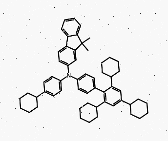 CC1(C)c2ccccc2-c2ccc(N(c3ccc(-c4c(C5CCCCC5)cc(C5CCCCC5)cc4C4CCCCC4)cc3)c3ccc(C4CCCCC4)cc3)cc21